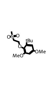 COc1cc(OC)c(OCCS(C)(=O)=O)c(C(C)(C)C)c1